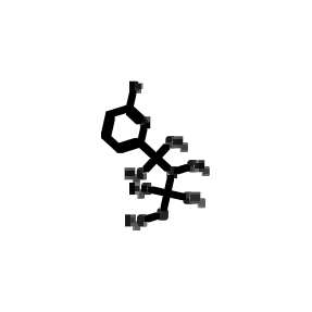 COC(C)(C)N(C)C(C)(C)c1cccc(Br)n1